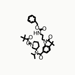 CC(C)N(C(=O)c1ccc2c(c1)N(CCNC(=O)OCc1ccccc1)C(=O)C2(C)C)C1CCCN(OC(=O)C(C)(C)C)C1